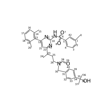 Cc1cccc(S(=O)(=O)Nc2nc(-c3c(C)cccc3C)cc(C(C)CCN(C=O)Cc3ccc(C(C)(C)O)cc3)n2)c1